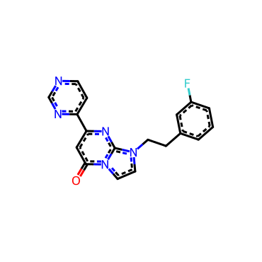 O=c1cc(-c2ccncn2)nc2n(CCc3cccc(F)c3)ccn12